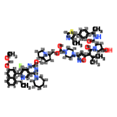 CCc1cccc2cc(OCOC)cc(-c3ncc4c(N5CCCCCC5)nc(OC[C@]56CCCN5C(COC(=O)N5CCN(c7cc([C@@H](C(=O)N8C[C@H](O)C[C@H]8C(=O)N[C@@H](C)c8ccc(-c9scnc9C)cc8)C(C)C)on7)CC5)CC6)nc4c3F)c12